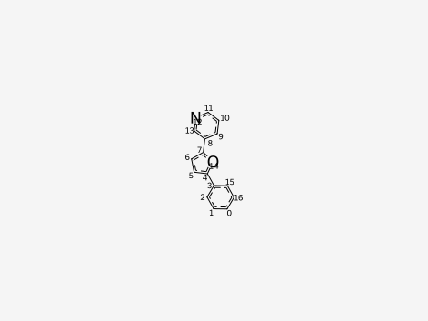 c1ccc(-c2ccc(-c3cccnc3)o2)cc1